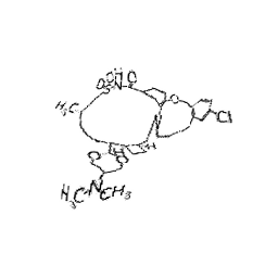 C[C@H]1CCC[C@H]([C@H]2OC[C@H](N(C)C)CO2)[C@@H]2CC[C@H]2CN2CCCCc3cc(Cl)ccc3COc3ccc(cc32)C(=O)NS(=O)(=O)C1